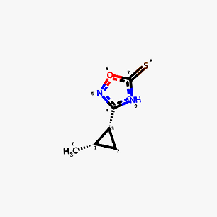 C[C@H]1C[C@H]1c1noc(=S)[nH]1